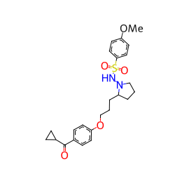 COc1ccc(S(=O)(=O)NN2CCCC2CCCOc2ccc(C(=O)C3CC3)cc2)cc1